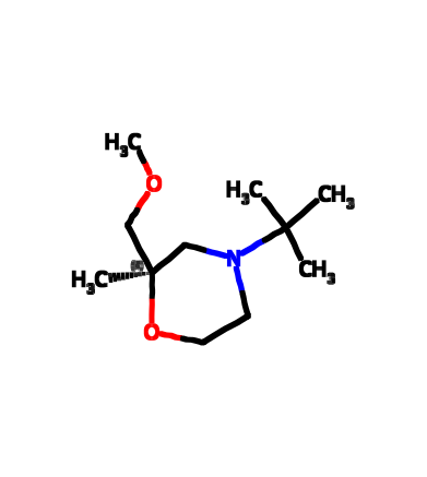 COC[C@@]1(C)CN(C(C)(C)C)CCO1